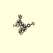 CC(=O)OC(OC(C)=O)[C@H]1CC2C(O)c3c(cc(-c4cccnc4)oc3=O)O[C@]2(C)[C@@H](OC(=O)c2ccc(C#N)cc2)C1